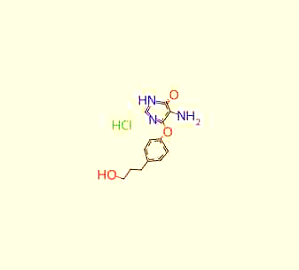 Cl.Nc1c(Oc2ccc(CCCO)cc2)nc[nH]c1=O